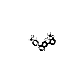 CC(=O)N1CCN(c2ncnc3cc(-c4cccc5c4OC(F)(F)O5)c(Cl)cc23)CC1